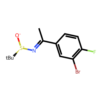 CC(=N[S@+]([O-])C(C)(C)C)c1ccc(F)c(Br)c1